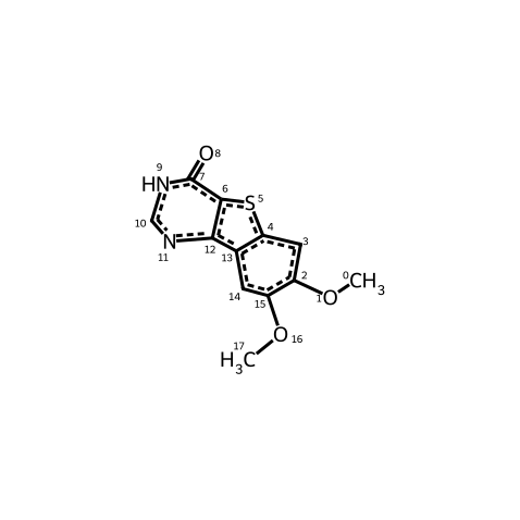 COc1cc2sc3c(=O)[nH]cnc3c2cc1OC